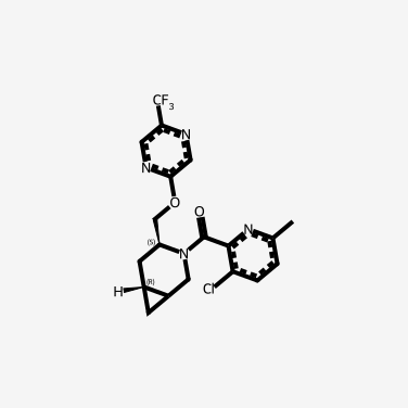 Cc1ccc(Cl)c(C(=O)N2CC3C[C@@H]3C[C@H]2COc2cnc(C(F)(F)F)cn2)n1